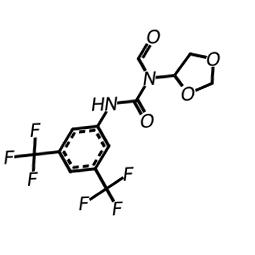 O=CN(C(=O)Nc1cc(C(F)(F)F)cc(C(F)(F)F)c1)C1COCO1